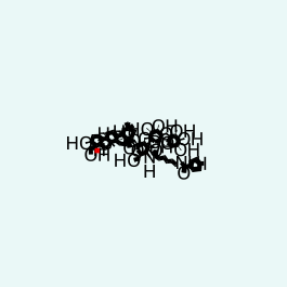 C[C@@H]1O[C@@H](O[C@H]2[C@H](OC(=O)[C@]34CCC(C)(C)C[C@H]3C3=CC[C@@H]5[C@@]6(C)CC[C@H](O)[C@@](C)(CO)[C@@H]6CC[C@@]5(C)[C@]3(C)CC4)O[C@H](CO)[C@H](NC(=O)CCCCCNC(=O)c3ccc(I)cc3)[C@@H]2O)[C@H](O)[C@H](O)[C@H]1O[C@@H]1OC[C@@H](O)[C@H](O)[C@H]1O